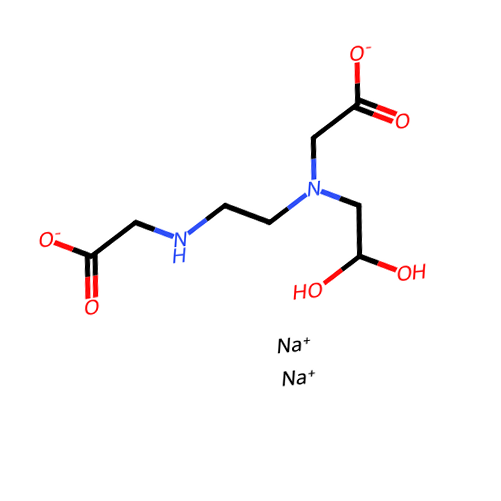 O=C([O-])CNCCN(CC(=O)[O-])CC(O)O.[Na+].[Na+]